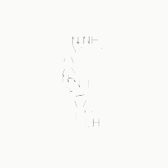 CC(F)Oc1ccc(C(=O)Nc2cc3cc(-c4cnc(N)s4)ccc3cn2)cc1